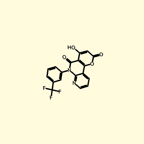 O=c1cc(O)c2c(=O)n(-c3cccc(C(F)(F)F)c3)c3ncccc3c2o1